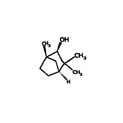 CC1(C)[C@H]2CC[C@@](C)(C2)[C@H]1O